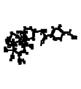 CCOc1cnc(C(=O)Nc2ccc(F)c([C@@]3(CC)N=C(N)C(CC)(CC)[SH]4(=O)NCC[C@@H]34)c2)cn1